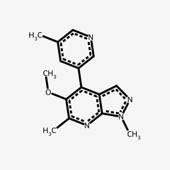 COc1c(C)nc2c(cnn2C)c1-c1cncc(C)c1